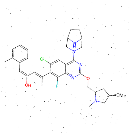 CO[C@@H]1C[C@@H](COc2nc(N3CC4CCC(C3)N4)c3cc(Cl)c(/C(C)=C/C(O)=C\c4ccccc4C)c(F)c3n2)N(C)C1